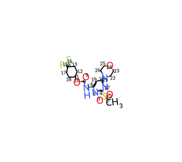 CS(=O)(=O)c1nc(NC(=O)OC2CCC(F)(F)CC2)cc(N2CCOCC2)n1